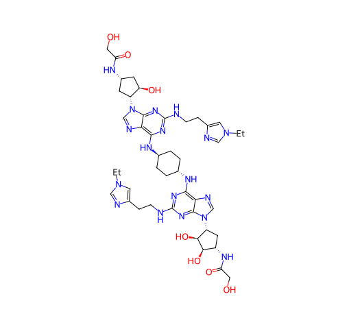 CCn1cnc(CCNc2nc(N[C@H]3CC[C@H](Nc4nc(NCCc5cn(CC)cn5)nc5c4ncn5[C@@H]4C[C@H](NC(=O)CO)C[C@H]4O)CC3)c3ncn([C@@H]4C[C@H](NC(=O)CO)[C@@H](O)[C@H]4O)c3n2)c1